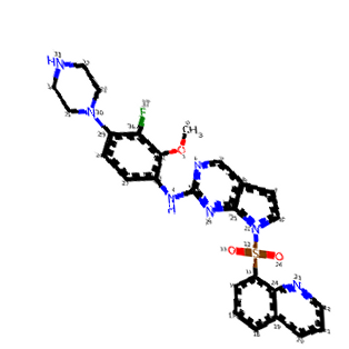 COc1c(Nc2ncc3ccn(S(=O)(=O)c4cccc5cccnc45)c3n2)ccc(N2CCNCC2)c1F